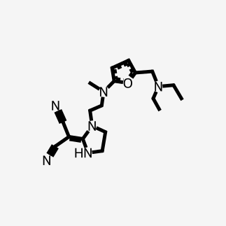 CCN(CC)Cc1ccc(N(C)CCN2CCNC2=C(C#N)C#N)o1